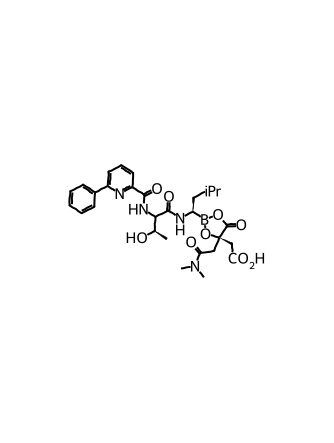 CC(C)C[C@H](NC(=O)C(NC(=O)c1cccc(-c2ccccc2)n1)[C@@H](C)O)B1OC(=O)[C@](CC(=O)O)(CC(=O)N(C)C)O1